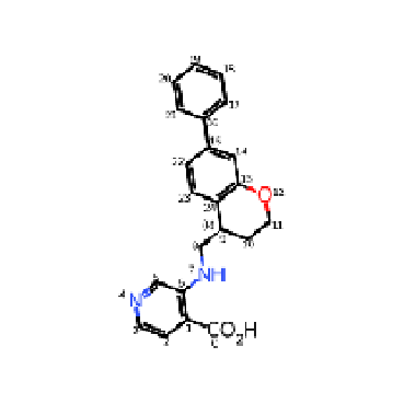 O=C(O)c1ccncc1NC[C@@H]1CCOc2cc(-c3ccccc3)ccc21